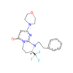 O=c1cc(N2CCOCC2)nc2n1CC[C@H](C(F)(F)F)N2CCc1ccccc1